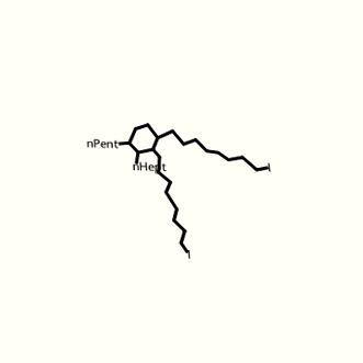 CCCCCCCC1C(CCCCC)CCC(CCCCCCCCI)C1CCCCCCCCI